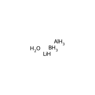 B.O.[AlH3].[LiH]